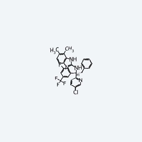 Cc1ccc2nc(N[C@](Cc3ccccc3)(c3cc(F)cc(C(F)(F)F)c3)c3ccc(Cl)cn3)[nH]c2c1C